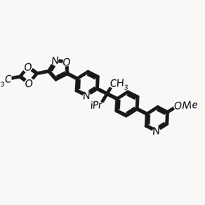 COc1cncc(-c2ccc(C(C)(c3ccc(-c4cc(C5OC(C)O5)no4)cn3)C(C)C)cc2)c1